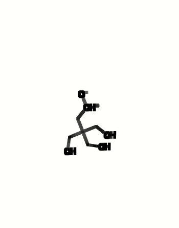 [O-][OH+]CC(CO)(CO)CO